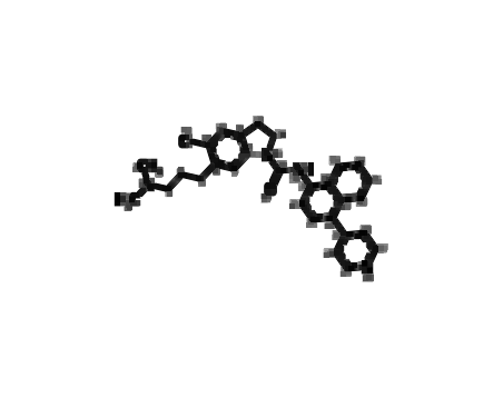 CN(C)CCCc1cc2c(cc1Cl)CCN2C(=O)Nc1ccc(-c2ccncc2)c2ccccc12